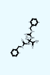 CC(NC(=O)OCc1ccccc1)(NC(=O)OCc1ccccc1)C(=O)O